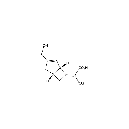 CC(C)(C)C(C(=O)O)=C1C[C@@H]2CC(CO)=C[C@H]12